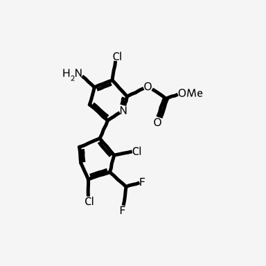 COC(=O)Oc1nc(-c2ccc(Cl)c(C(F)F)c2Cl)cc(N)c1Cl